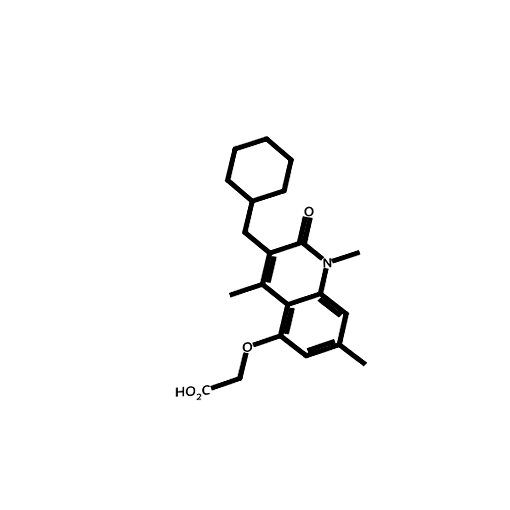 Cc1cc(OCC(=O)O)c2c(C)c(CC3CCCCC3)c(=O)n(C)c2c1